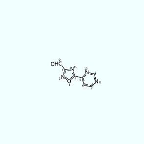 O=Cc1noc(-c2ccncn2)n1